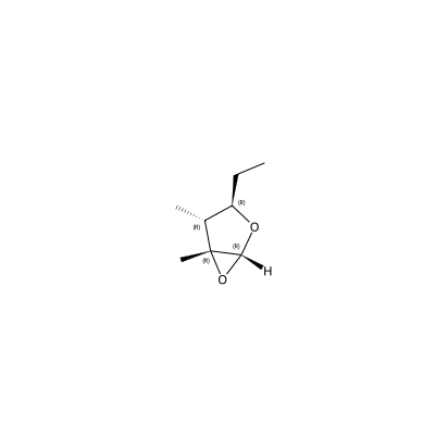 CC[C@H]1O[C@@H]2O[C@]2(C)[C@@H]1C